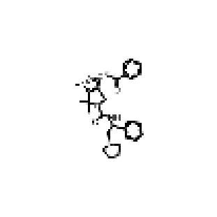 CC1(C)c2[nH]nc(NC(=O)c3ccccc3)c2CN1C(=O)NC(CN1CCCC1)c1ccccc1